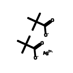 CC(C)(C)C(=O)[O-].CC(C)(C)C(=O)[O-].[Ag+2]